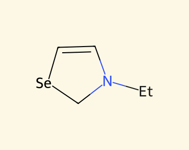 CCN1C=C[Se]C1